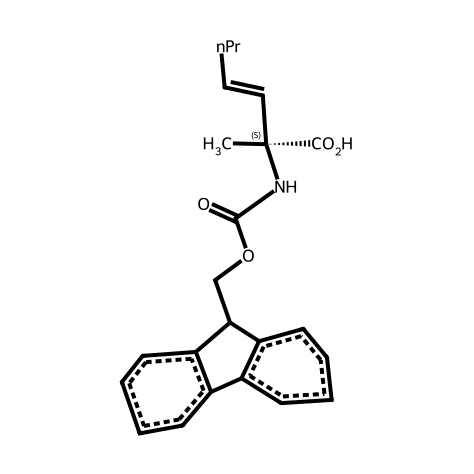 CCCC=C[C@](C)(NC(=O)OCC1c2ccccc2-c2ccccc21)C(=O)O